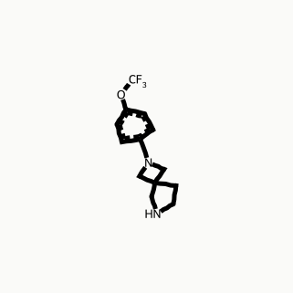 FC(F)(F)Oc1ccc(N2CC3(CCNC3)C2)cc1